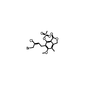 COc1c(C)c2c(c(OS(C)(=O)=O)c1C/C=C(/Cl)CBr)C(=O)OC2